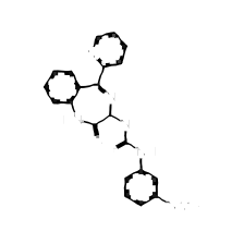 CNc1cccc(NC(=O)NC2N=C(c3ccccn3)c3ccccc3NC2=O)c1